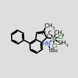 CC1=Cc2c(-c3ccccc3)cccc2[CH]1[Ti]([CH3])([CH3])([SiH3])([Cl])([Cl])[NH]C(C)(C)C